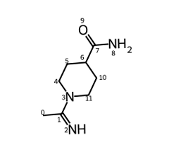 CC(=N)N1CCC(C(N)=O)CC1